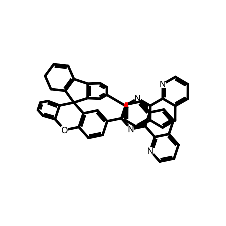 C1=CC2=C(CC1)C1(c3ccccc3Oc3ccc(-c4ccc5ccc6cccnc6c5n4)cc31)c1cc(-c3ccc4ccc5cccnc5c4n3)ccc12